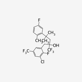 Cc1ccc(F)cc1C(C)(C)CC(O)(Cc1cc(C(F)(F)F)cc(Cl)c1F)C(F)(F)F